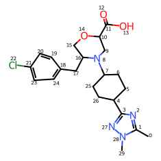 Cc1nc(C2CCC(N3CC(C(=O)O)OCC3Cc3ccc(Cl)cc3)CC2)nn1C